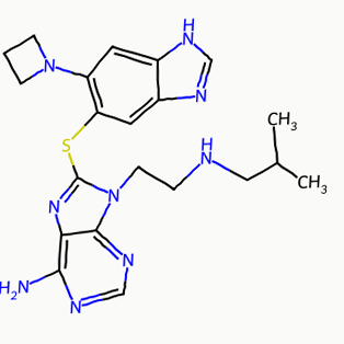 CC(C)CNCCn1c(Sc2cc3nc[nH]c3cc2N2CCC2)nc2c(N)ncnc21